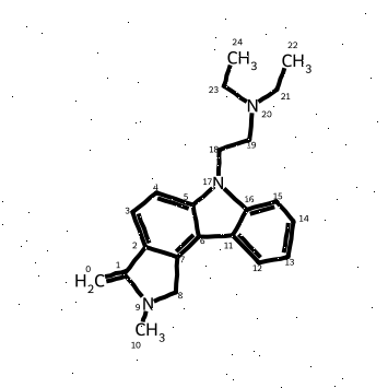 C=C1c2ccc3c(c2CN1C)c1ccccc1n3CCN(CC)CC